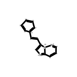 C(=Cc1cnc2cccnn12)c1ccccc1